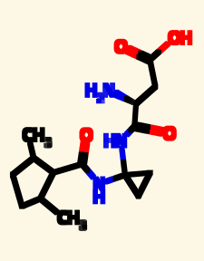 CC1CCC(C)C1C(=O)NC1(NC(=O)[C@@H](N)CC(=O)O)CC1